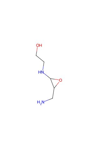 NCC1OC1NCCO